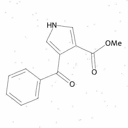 COC(=O)c1c[nH]cc1C(=O)c1ccccc1